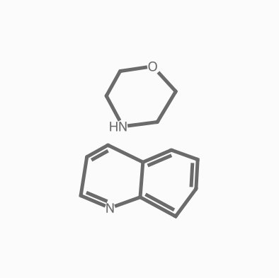 C1COCCN1.c1ccc2ncccc2c1